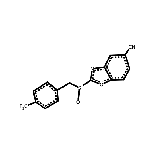 N#Cc1ccc2oc([S+]([O-])Cc3ccc(C(F)(F)F)cc3)nc2c1